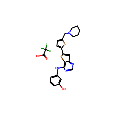 O=C(O)C(F)(F)F.Oc1cccc(Nc2ncnc3cc(-c4ccc(CN5CCCCC5)s4)sc23)c1